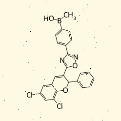 CB(O)c1ccc(-c2noc(C3=Cc4cc(Cl)cc(Cl)c4OC3c3ccccc3)n2)cc1